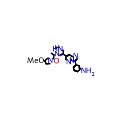 COC1CCN(C(=O)C(C)N/C=C(\C=N)c2cnn3c(-c4cccc(N)c4)cnc3c2)C1